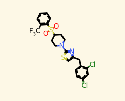 O=S(=O)(c1ccccc1C(F)(F)F)C1CCN(c2nc(Cc3ccc(Cl)cc3Cl)cs2)CC1